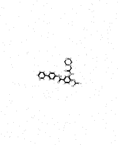 O=C(CN1CCOCC1)Nc1cc(C(=O)Nc2ccc(-c3cccnc3)cc2)ccc1OC(F)F